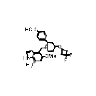 COc1cc(C)c2[nH]ccc2c1CN1CCC(OC2CC(F)(F)C2)CC1c1ccc(C(=O)O)cc1